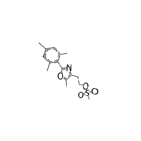 Cc1cc(C)c(-c2nc(CCOS(C)(=O)=O)c(C)o2)c(C)c1